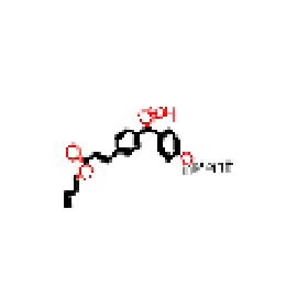 C=CCCOC(=O)C=Cc1ccc(C(OO)c2ccc(OCCCCC)cc2)cc1